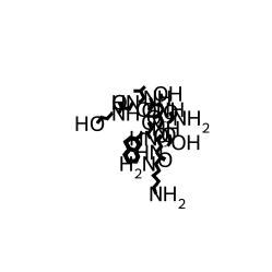 CC(C)[C@H](NC(=O)[C@H](CO)NC(=O)[C@H](CC(N)=O)NC(=O)[C@H](Cc1ccc2ccccc2c1)NC(=O)[C@H](CC(=O)O)NC(=O)[C@@H](N)CCCCN)C(=O)NCC(=O)NCCCO